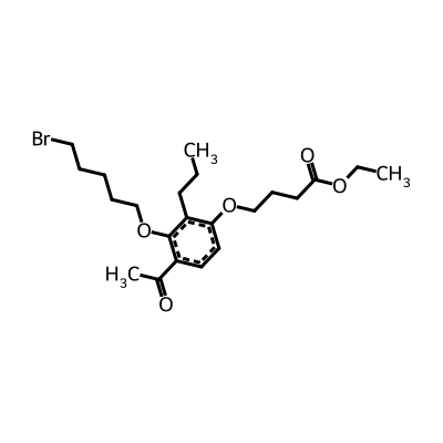 CCCc1c(OCCCC(=O)OCC)ccc(C(C)=O)c1OCCCCCBr